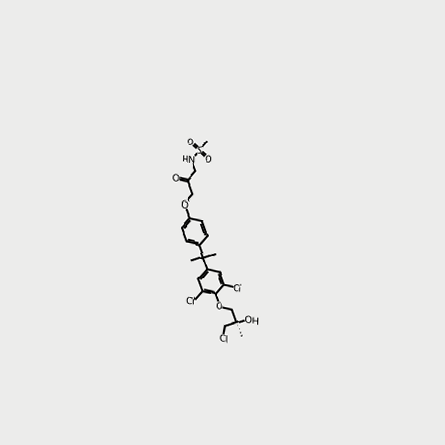 CC(C)(c1ccc(OCC(=O)CNS(C)(=O)=O)cc1)c1cc(Cl)c(OC[C@@](C)(O)CCl)c(Cl)c1